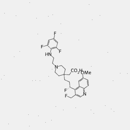 COc1ccc2ncc(CF)c([C@H](F)CCC3(CC(=O)O)CCN(CCNc4c(F)cc(F)cc4F)CC3)c2c1